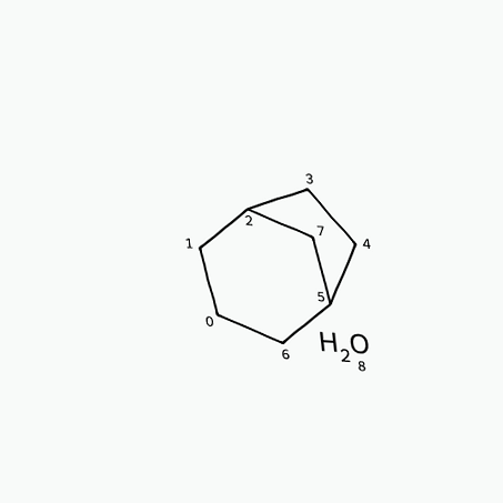 C1CC2CCC(C1)C2.O